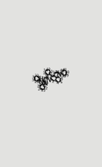 Nc1cc2cccc3c2c(c1-c1ccccc1CCc1nc2ccccc2n1-c1ccccc1)C=CN3c1ccccc1